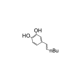 CCCCC=Cc1ccc(O)c(O)c1